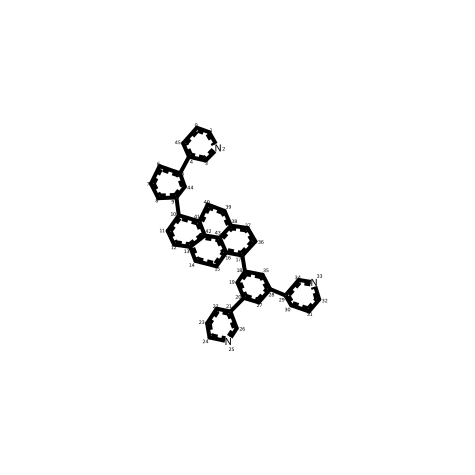 c1cncc(-c2cccc(-c3ccc4ccc5c(-c6cc(-c7cccnc7)cc(-c7cccnc7)c6)ccc6ccc3c4c65)c2)c1